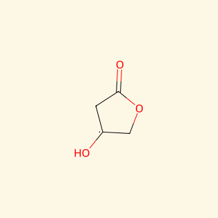 O=C1C[C](O)CO1